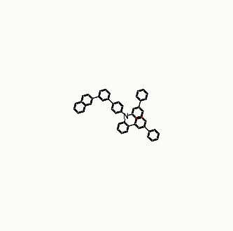 c1ccc(-c2cccc(-c3ccccc3N(c3ccc(-c4cccc(-c5ccc6ccccc6c5)c4)cc3)c3cccc(-c4ccccc4)c3)c2)cc1